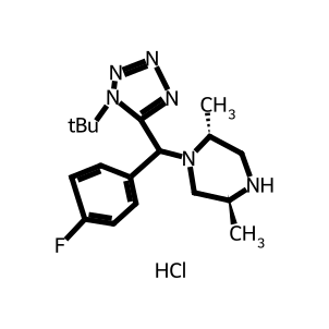 C[C@@H]1CN[C@@H](C)CN1C(c1ccc(F)cc1)c1nnnn1C(C)(C)C.Cl